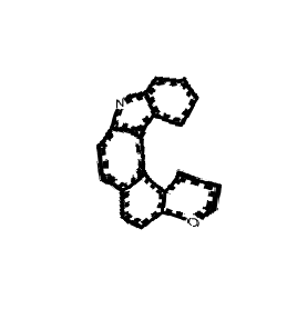 c1ccc2c(c1)nc1ccc3ccc4occcc4c3c12